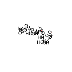 Cc1c(-c2ccc(-c3cc4cccc(C(=O)Nc5nc6ccccc6s5)c4[nH]3)nc2C(=O)O)cnn1CC12CC3(C)CC(C)(C1)CC(OCCNCCS(O)(O)OCC(C)(C)CCO[Si](c1ccccc1)(c1ccccc1)C(C)(C)C)(C3)C2